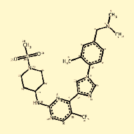 Cc1cc(CN(C)C)ccc1-n1cnc(-c2nc(NC3CCN(S(C)(=O)=O)CC3)ncc2C(F)(F)F)c1